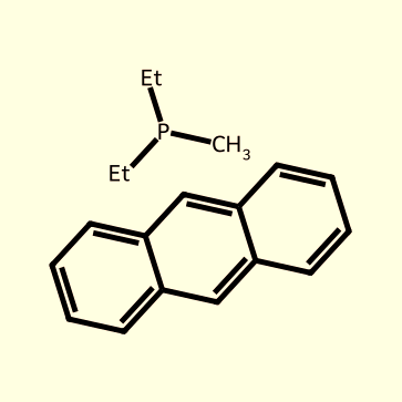 CCP(C)CC.c1ccc2cc3ccccc3cc2c1